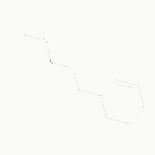 CCCCNC(=O)OCC1C=CC=CC1